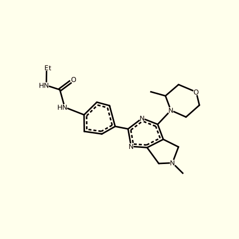 CCNC(=O)Nc1ccc(-c2nc3c(c(N4CCOCC4C)n2)CN(C)C3)cc1